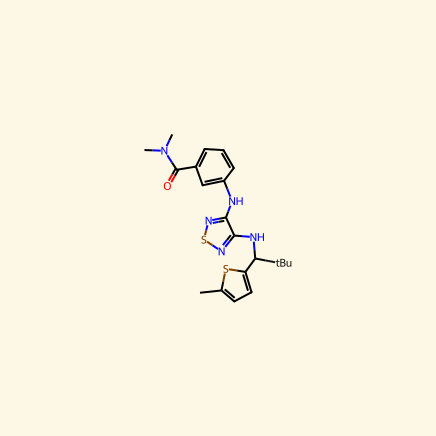 Cc1ccc(C(Nc2nsnc2Nc2cccc(C(=O)N(C)C)c2)C(C)(C)C)s1